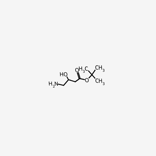 CC(C)(C)OC(=O)C[C](O)CN